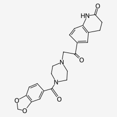 O=C1CCc2cc(C(=O)CN3CCN(C(=O)c4ccc5c(c4)OCO5)CC3)ccc2N1